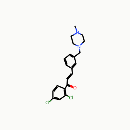 CN1CCN(Cc2cccc(/C=C/C(=O)c3ccc(Cl)cc3Cl)c2)CC1